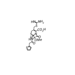 COC1(NC(=O)Cc2cccs2)C(=O)N2C(C(=O)O)=C(CSC(=N)N)CS[C@H]21